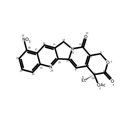 CC[C@@]1(OC(C)=O)C(=O)OCc2c1cc1n(c2=O)Cc2cc3c([N+](=O)[O-])cccc3nc2-1